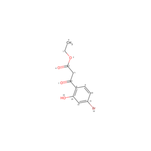 CCOC(=O)CC(=O)c1ccc(Br)cc1O